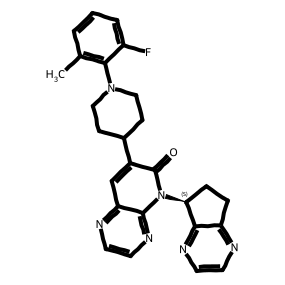 Cc1cccc(F)c1N1CCC(c2cc3nccnc3n([C@H]3CCc4nccnc43)c2=O)CC1